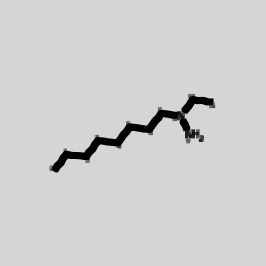 CCCCCCCCN(N)CC